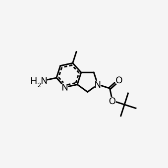 Cc1cc(N)nc2c1CN(C(=O)OC(C)(C)C)C2